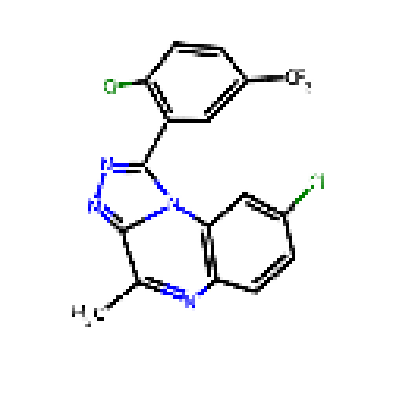 Cc1nc2ccc(Cl)cc2n2c(-c3cc(C(F)(F)F)ccc3Cl)nnc12